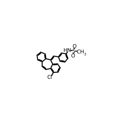 CS(=O)(=O)Nc1cccc(C=C2c3ccccc3C=Cc3c(Cl)cccc32)c1